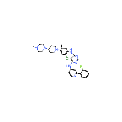 Cc1cc(Nc2cc(Nc3ccnc(-c4ccccc4F)c3)ncn2)c(Cl)cc1N1CCC(N2CCN(C)CC2)CC1